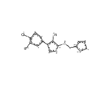 N#Cc1c(-c2ccc(Cl)c(Cl)c2)csc1OCc1cccs1